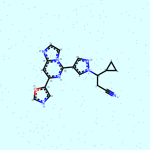 N#CCC(C1CC1)n1cc(-c2nc(-c3cnco3)cc3nccn23)cn1